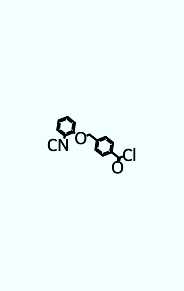 N#Cc1ccccc1OCc1ccc(C(=O)Cl)cc1